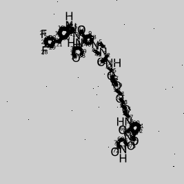 O=C(CN1CCN(c2ccc(C(=O)Nc3n[nH]c4ccc(Cc5cc(F)cc(F)c5)cc34)c(NC3CCOCC3)c2)CC1)NCCOCCOCCOCCOCCNc1cccc2c1C(=O)N(C1CCC(=O)NC1=O)C2=O